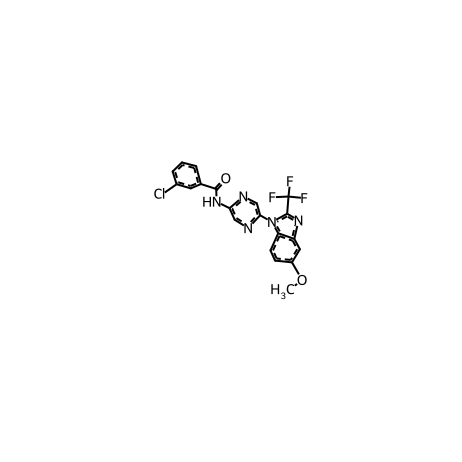 COc1ccc2c(c1)nc(C(F)(F)F)n2-c1cnc(NC(=O)c2cccc(Cl)c2)cn1